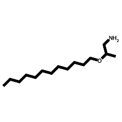 CCCCCCCCCCCCOC(C)CN